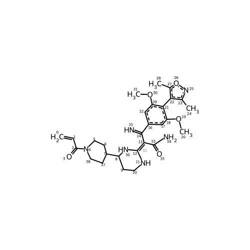 C=CC(=O)N1CCC(C2CCN/C(=C(/C(=N)c3cc(OC)c(-c4c(C)noc4C)c(OC)c3)C(N)=O)N2)CC1